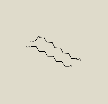 CCCCCC/C=C\CCCCCCCC(=O)O.CCCCCCCCCCCCCCCCCCO